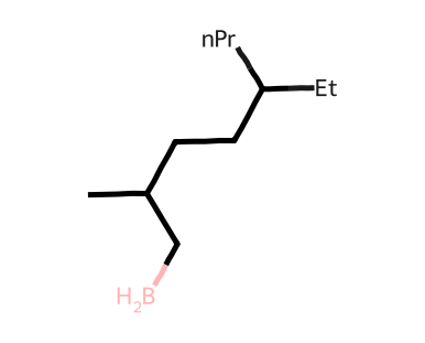 BCC(C)CCC(CC)CCC